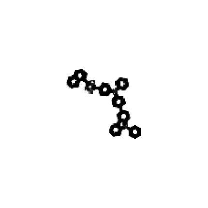 c1ccc(N(c2ccc(-c3ccc4c(c3)c3ccccc3n4-c3ccccc3)cc2)c2ccc(-c3nnc(-c4cccc5ccccc45)o3)cc2)cc1